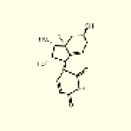 O=c1ccn([C@@H]2C3=CC[C@H](O)C[C@@H]3[C@@H](O)[C@H]2O)c(=O)[nH]1